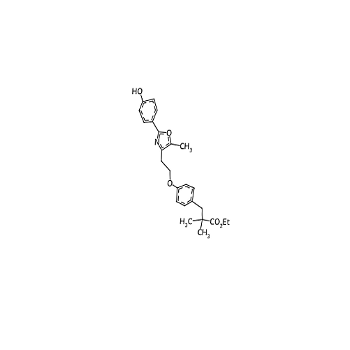 CCOC(=O)C(C)(C)Cc1ccc(OCCc2nc(-c3ccc(O)cc3)oc2C)cc1